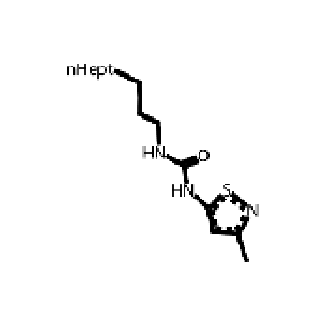 CCCCCCCCCCNC(=O)Nc1cc(C)ns1